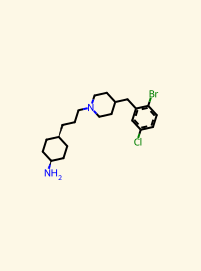 N[C@H]1CC[C@@H](CCCN2CCC(Cc3cc(Cl)ccc3Br)CC2)CC1